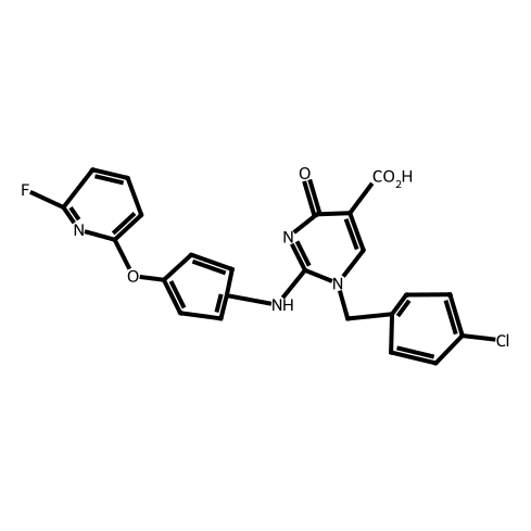 O=C(O)c1cn(Cc2ccc(Cl)cc2)c(Nc2ccc(Oc3cccc(F)n3)cc2)nc1=O